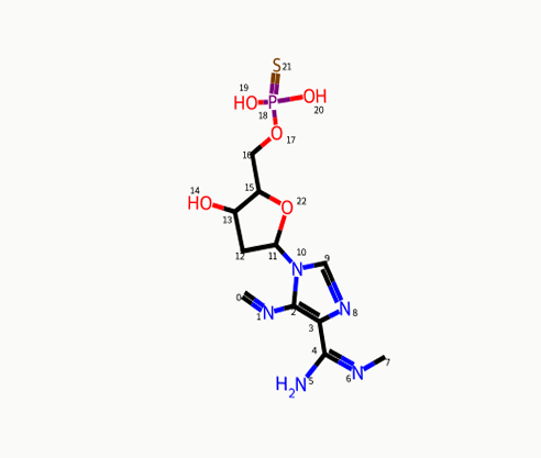 C=Nc1c(/C(N)=N\C)ncn1C1CC(O)C(COP(O)(O)=S)O1